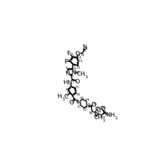 Cc1cc(NC(=O)c2ncc(-c3ccc(OCC#N)c(F)c3F)n2C)ccc1C(=O)N1CCN(C(=O)C[N+](C)(C)CC(N)=O)CC1